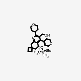 CC(C)(C)[Si](C)(C)O[C@H]1CC2(CCC2)Cc2nc(C3CCOCC3)c(CO)c(C3=CCOCC3)c21